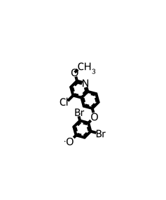 COc1cc(Cl)c2cc(Oc3c(Br)cc([O])cc3Br)ccc2n1